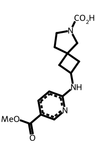 COC(=O)c1ccc(NC2CC3(CCN(C(=O)O)C3)C2)nc1